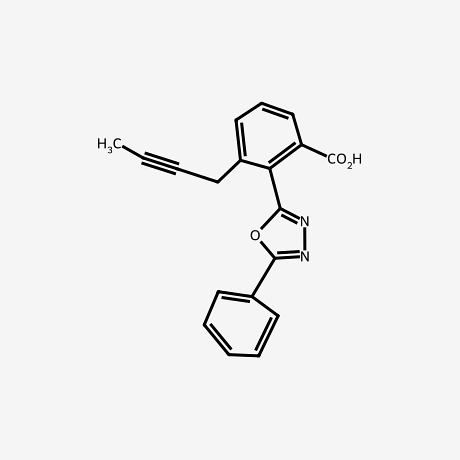 CC#CCc1cccc(C(=O)O)c1-c1nnc(-c2ccccc2)o1